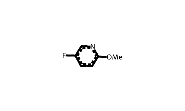 COc1[c]cc(F)cn1